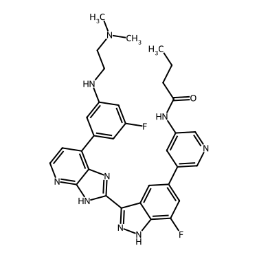 CCCC(=O)Nc1cncc(-c2cc(F)c3[nH]nc(-c4nc5c(-c6cc(F)cc(NCCN(C)C)c6)ccnc5[nH]4)c3c2)c1